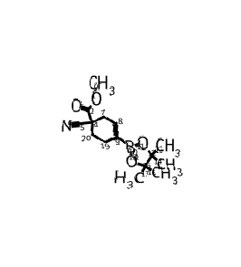 COC(=O)C1(C#N)CC=C(B2OC(C)(C)C(C)(C)O2)CC1